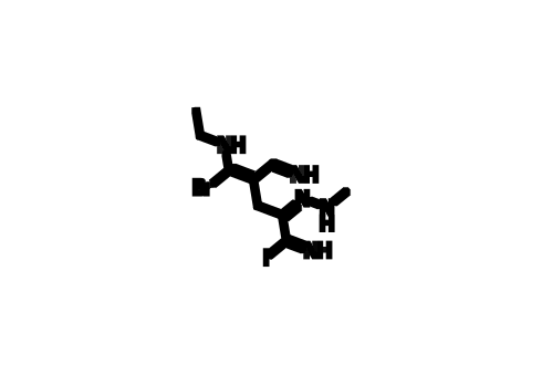 CCN/C(Br)=C(\C=N)C/C(=N/NC)C(=N)I